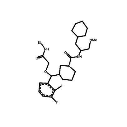 CCNC(=O)COC(c1cccc(F)c1F)C1CCCN(C(=O)NC(CNC)CC2CCCCC2)C1